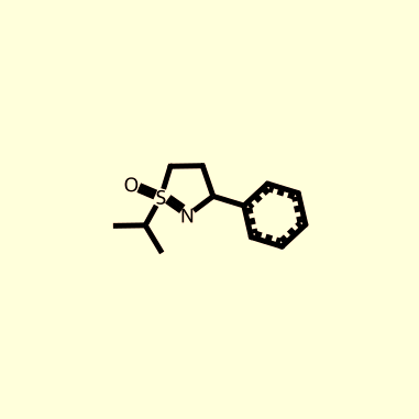 CC(C)S1(=O)=NC(c2ccccc2)CC1